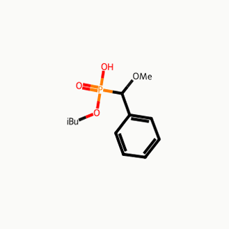 CCC(C)OP(=O)(O)C(OC)c1ccccc1